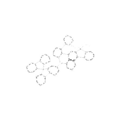 CC1(C)c2ccccc2-c2ccc(-c3c(-c4ccccc4)cccc3N(c3ccccc3)c3ccc4c(c3)C3(c5ccccc5-c5ccccc53)c3ccccc3-4)cc21